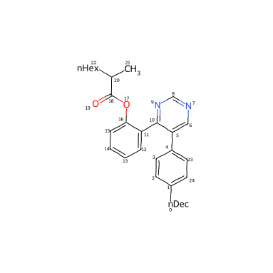 CCCCCCCCCCc1ccc(-c2cncnc2-c2ccccc2OC(=O)C(C)CCCCCC)cc1